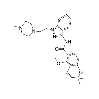 COc1c(C(=O)Nc2nn(CCN3CCN(C)CC3)c3ccccc23)ccc2c1C=CC(C)(C)O2